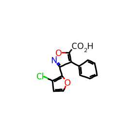 O=C(O)c1onc(-c2occc2Cl)c1-c1ccccc1